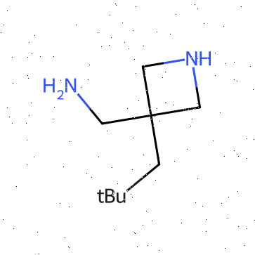 CC(C)(C)CC1(CN)CNC1